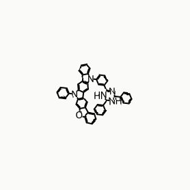 c1ccc(C2N=C(c3cccc(-n4c5ccccc5c5cc6c(cc54)c4cc5c(cc4n6-c4ccccc4)oc4ccccc45)c3)NC(c3ccccc3)N2)cc1